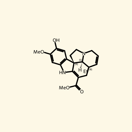 CC[C@]12C=CCN3CC[C@]4(C(=C(C(=O)OC)C1)Nc1cc(OC)c(O)cc14)[C@@H]32